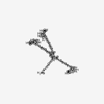 BC(=O)CCOCCOCCOCCOCCC(=O)NC(CCC(=O)NCCOCCOCCOCCOCCOC1OC(COP(=O)(O)O)C(O)C(O)C1O)(CCC(=O)NCCOCCOCCOCCOCCOC1OC(COP(=O)(O)O)C(O)C(O)C1O)CCC(=O)NCCOCCOCCOCCOCCOC1OC(COP(=O)(O)O)C(O)C(O)C1O